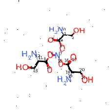 N[C@@H](CO)C(=O)ON(OC(=O)[C@@H](N)CO)OC(=O)[C@@H](N)CO